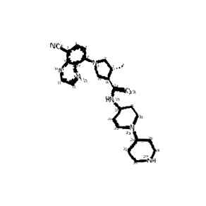 C[C@H]1CN(c2ccc(C#N)c3nccnc23)C[C@@H]1C(=O)NC1CCN(C2CCNCC2)CC1